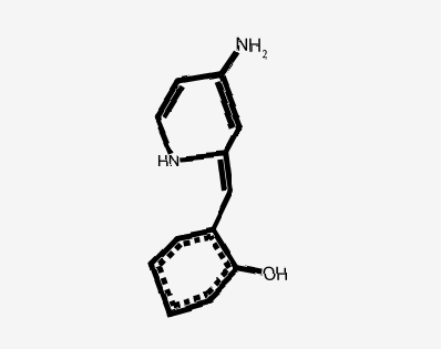 NC1=CC(=Cc2ccccc2O)NC=C1